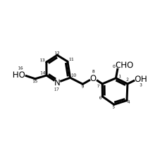 O=Cc1c(O)cccc1OCc1cccc(CO)n1